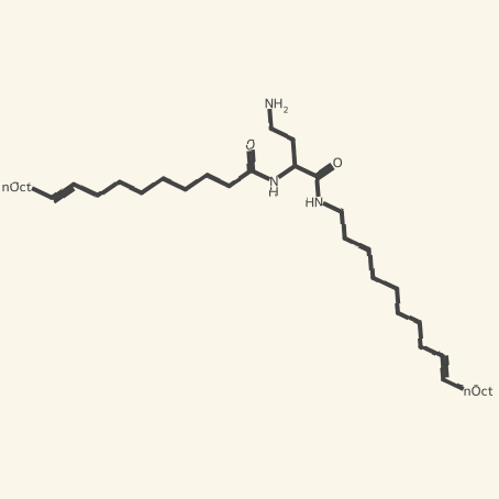 CCCCCCCCC=CCCCCCCCCNC(=O)C(CCN)NC(=O)CCCCCCCC=CCCCCCCCC